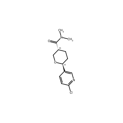 CN(C)C(=O)[C@@H]1CC[C@@H](c2ccc(Cl)nc2)OC1